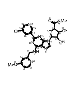 CNC(=O)[C@@H]1OC(n2cnc3c(NCc4cc(OC)ccn4)nc(-c4cncc(Cl)c4)nc32)C(O)C1O